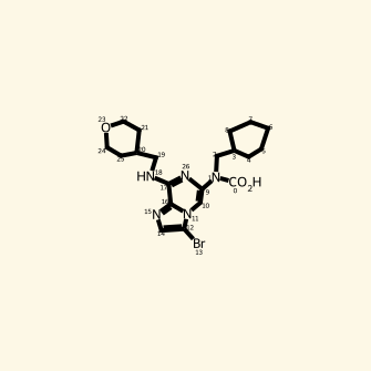 O=C(O)N(CC1CCCCC1)c1cn2c(Br)cnc2c(NCC2CCOCC2)n1